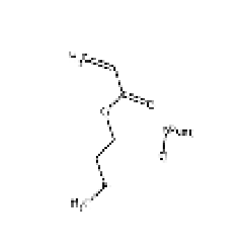 C=CC(=O)OCC[P]C.CCCCCCl